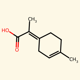 CC1=CC/C(=C(/C)C(=O)O)CC1